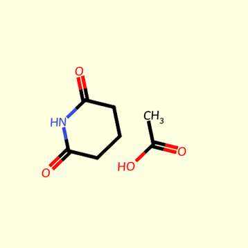 CC(=O)O.O=C1CCCC(=O)N1